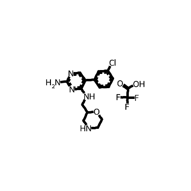 Nc1ncc(-c2cccc(Cl)c2)c(NCC2CNCCO2)n1.O=C(O)C(F)(F)F